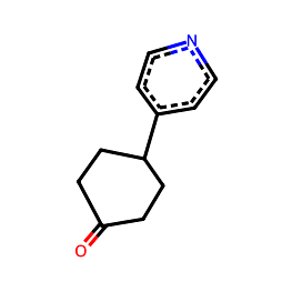 O=C1CCC(c2ccncc2)CC1